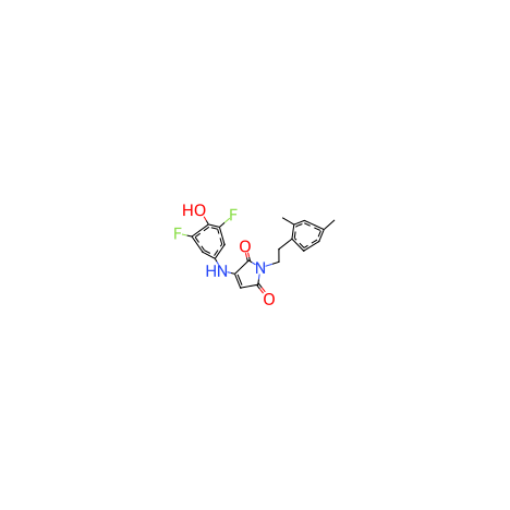 Cc1ccc(CCN2C(=O)C=C(Nc3cc(F)c(O)c(F)c3)C2=O)c(C)c1